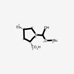 CC[C@H]1C[C@@H](C(=O)O)N(C(O)OC(C)(C)C)C1